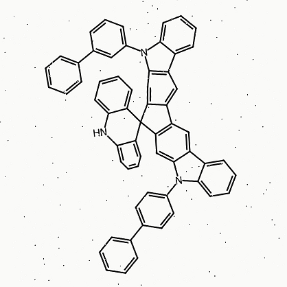 c1ccc(-c2ccc(-n3c4ccccc4c4cc5c(cc43)C3(c4ccccc4Nc4ccccc43)c3cc4c(cc3-5)c3ccccc3n4-c3cccc(-c4ccccc4)c3)cc2)cc1